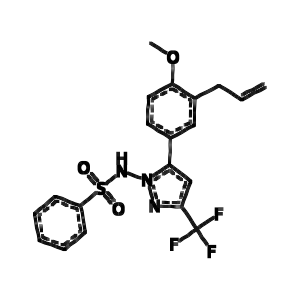 C=CCc1cc(-c2cc(C(F)(F)F)nn2NS(=O)(=O)c2ccccc2)ccc1OC